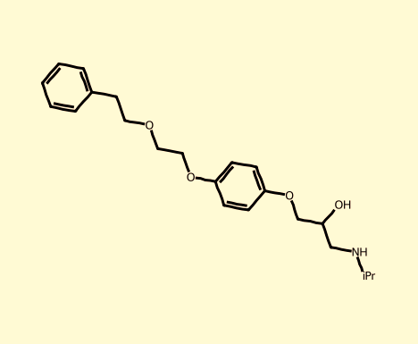 CC(C)NCC(O)COc1ccc(OCCOCCc2ccccc2)cc1